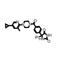 Cc1cc(C2CC2)cnc1N1CCN(C(=O)c2ccc(C3(C(C)C)NC(=O)NC3=O)cc2)CC1